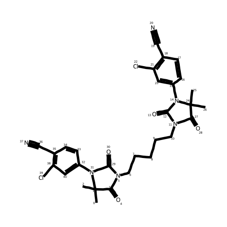 CC1(C)C(=O)N(CCCCCN2C(=O)N(c3ccc(C#N)c(Cl)c3)C(C)(C)C2=O)C(=O)N1c1ccc(C#N)c(Cl)c1